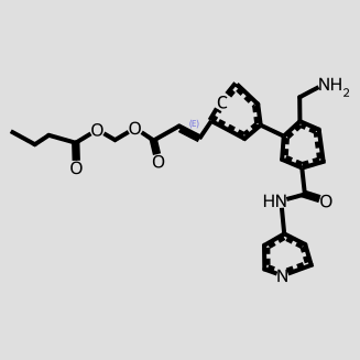 CCCC(=O)OCOC(=O)/C=C/c1cccc(-c2cc(C(=O)Nc3ccncc3)ccc2CN)c1